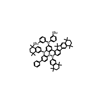 CC(C)(C)c1cccc(N(c2cccc(C(C)(C)C)c2)c2cc3c4c(c2)N(c2ccc5c(c2)C(C)(C)CCC5(C)C)c2cc(-c5ccccc5)ccc2B4N(c2ccc4c(c2)C(C)(C)CCC4(C)C)c2ccc4c(c2-3)C(C)(C)c2cc3c(cc2-4)C(C)(C)CCC3(C)C)c1